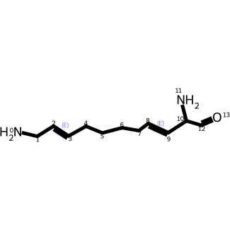 NC/C=C/CCCC/C=C/C(N)C=O